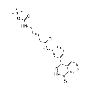 CC(C)(C)OC(=O)NC/C=C/CC(=O)Nc1cccc(-c2n[nH]c(=O)c3ccccc23)c1